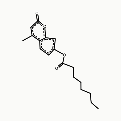 CCCCCCCC(=O)Oc1ccc2c(C)cc(=O)oc2c1